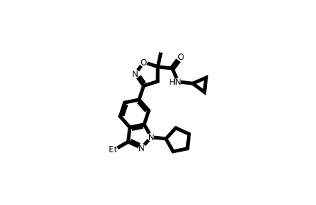 CCc1nn(C2CCCC2)c2cc(C3=NOC(C)(C(=O)NC4CC4)C3)ccc12